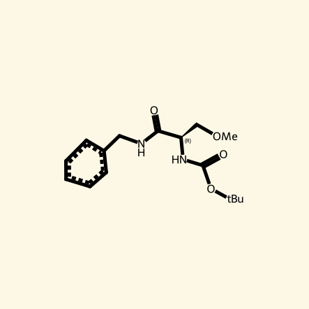 COC[C@@H](NC(=O)OC(C)(C)C)C(=O)NCc1ccccc1